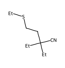 CCSCCC(C#N)(CC)CC